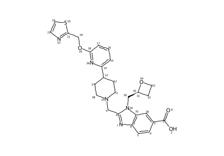 O=C(O)c1ccc2nc(CN3CCC(c4cccc(OCc5nccs5)n4)CC3)n(C[C@@H]3CCO3)c2c1